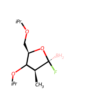 B[C@@]1(F)O[C@H](COC(C)C)C(OC(C)C)[C@@H]1C